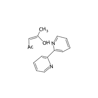 CC(=O)/C=C(/C)O.c1ccc(-c2ccccn2)nc1